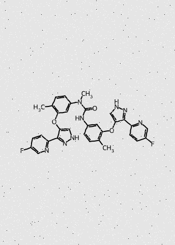 Cc1ccc(NC(=O)N(C)c2ccc(C)c(Oc3c[nH]nc3-c3ccc(F)cn3)c2)cc1Oc1c[nH]nc1-c1ccc(F)cn1